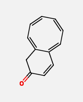 O=C1C=CC2=C/C=C\C=C/C=C\2C1